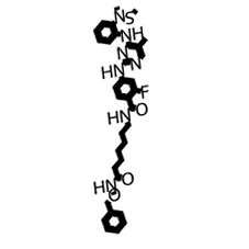 CSN(C)c1ccccc1Nc1nc(Nc2ccc(C(=O)NCCCCCCC(=O)NOCc3ccccc3)c(F)c2)ncc1C